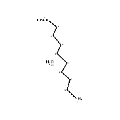 CCCCCCCCCCCCCN.O